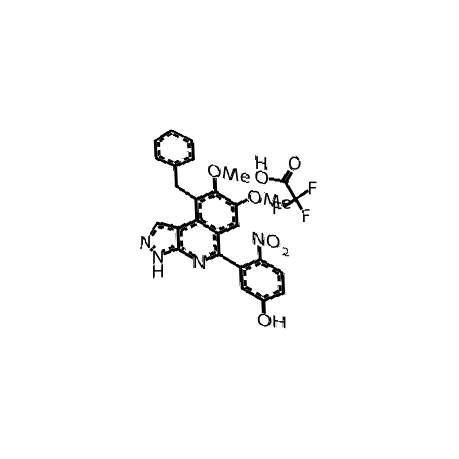 COc1cc2c(-c3cc(O)ccc3[N+](=O)[O-])nc3[nH]ncc3c2c(Cc2ccccc2)c1OC.O=C(O)C(F)(F)F